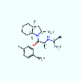 CCC[C@H](N[C@@H](C)C(=O)N1[C@H](C(=O)O)C[C@@H]2CCCC[C@@H]21)C(=O)OCC.Cc1ccc(S(=O)(=O)O)cc1